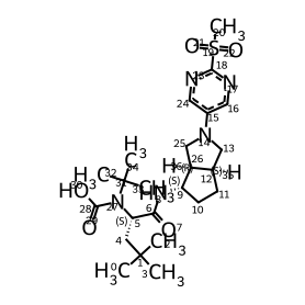 CC(C)(C)C[C@@H](C(=O)N[C@H]1CC[C@@H]2CN(c3cnc(S(C)(=O)=O)nc3)C[C@@H]21)N(C(=O)O)C(C)(C)C